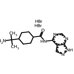 Br.Br.CC(C)(N)C1CCC(C(=O)Nc2ncnc3[nH]ncc23)CC1